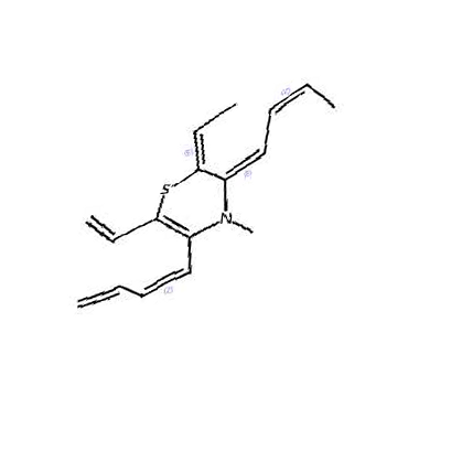 C=C/C=C\C1=C(C=C)SC(=C/C)/C(=C\C=C/C)N1C